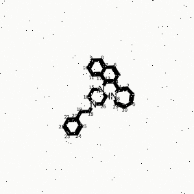 C1=CC=C(c2ccc3ccccc3c2N2CCN(CCc3ccccc3)CC2)NC=C1